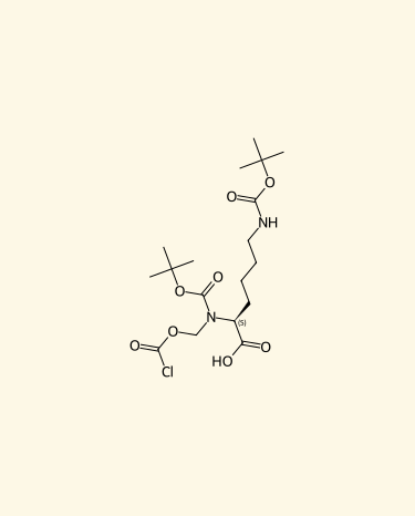 CC(C)(C)OC(=O)NCCCC[C@@H](C(=O)O)N(COC(=O)Cl)C(=O)OC(C)(C)C